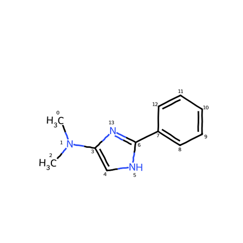 CN(C)c1c[nH]c(-c2ccccc2)n1